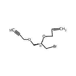 C#CCOC[C@H](CBr)OCC=C